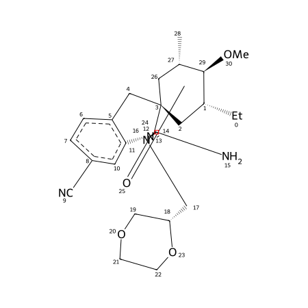 CC[C@@H]1C[C@@]2(Cc3ccc(C#N)cc3[C@]23N=C(N)N(C[C@H]2COCCO2)C3=O)C[C@H](C)[C@H]1OC